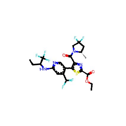 CCOC(=O)c1nc(C(=O)N2CC(F)(F)C[C@@H]2C)c(-c2cnc(NC(CC)C(F)(F)F)cc2C(F)F)s1